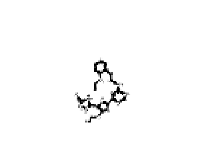 CCOc1ccccc1CCNc1cc(-c2cc(OCC)c(-c3noc(=O)[nH]3)s2)ncn1